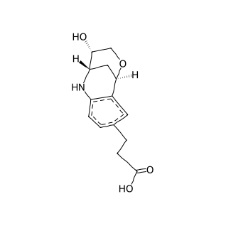 O=C(O)CCc1ccc2c(c1)[C@H]1C[C@H](N2)[C@H](O)CO1